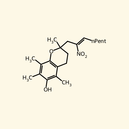 CCCCC/C=C(/CC1(C)CCc2c(C)c(O)c(C)c(C)c2O1)[N+](=O)[O-]